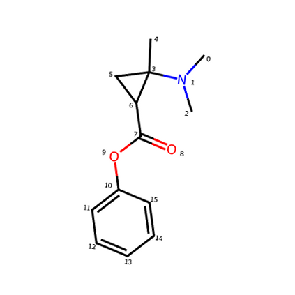 CN(C)C1(C)CC1C(=O)Oc1ccccc1